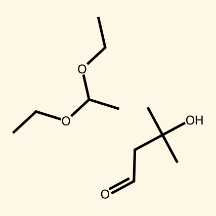 CC(C)(O)CC=O.CCOC(C)OCC